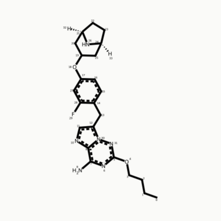 CCCCOc1nc(N)c2ncc(Cc3ccc(OC4C[C@H]5CC[C@@H](C4)N5)cc3F)n2n1